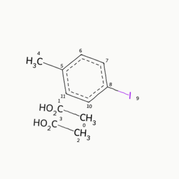 CC(=O)O.CC(=O)O.Cc1ccc(I)cc1